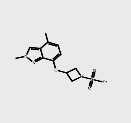 Cc1ccc(OC2CN(S(=O)(=O)C(C)C)C2)c2nn(C)cc12